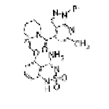 Cc1cc(C(=O)N2CCCC[C@@H]2COc2cccc3c2C(N)=NS(=O)(=O)N3)c2cnn(C(C)C)c2n1